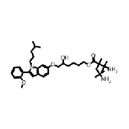 COc1ccccc1-c1cc2ccc(OCC(O)CCCCOC(=O)C(C)(CC(C)(C)N)C(C)(C)N)cc2n1CCCC(C)C